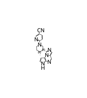 C[C@@H]1CCN(c2ccc(C#N)cn2)C[C@@H]1c1ncc2cnc3[nH]ccc3n12